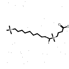 C[N+](C)(C)CCCCCCCCCC(I)[N+](C)(C)CCCC(=O)O